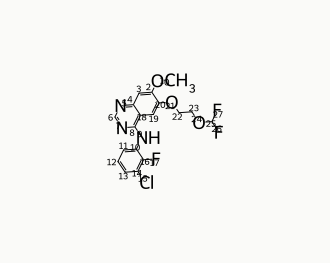 COc1cc2ncnc(Nc3cccc(Cl)c3F)c2cc1OCCOC(F)F